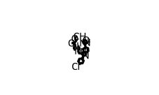 COCC(=O)N1CCN(Cc2c(-c3ccc(Cl)cc3)nc3ccc(-c4ncon4)cn23)CC1